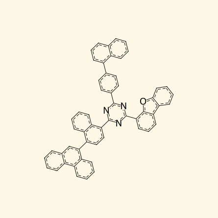 c1ccc2c(-c3ccc(-c4nc(-c5ccc(-c6cc7ccccc7c7ccccc67)c6ccccc56)nc(-c5cccc6c5oc5ccccc56)n4)cc3)cccc2c1